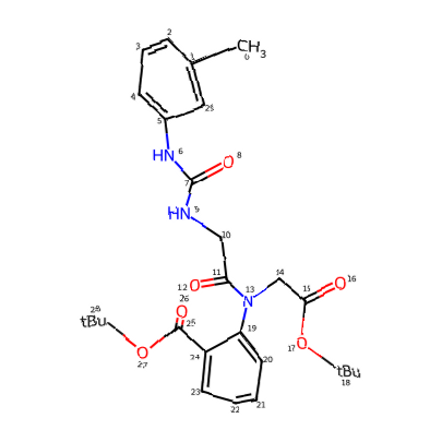 Cc1cccc(NC(=O)NCC(=O)N(CC(=O)OC(C)(C)C)c2ccccc2C(=O)OC(C)(C)C)c1